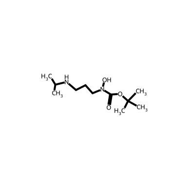 CC(C)NCCCN(O)C(=O)OC(C)(C)C